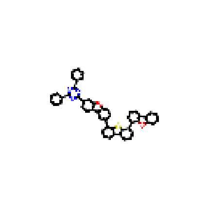 c1ccc(-c2nc(-c3ccccc3)nc(-c3ccc4c(c3)oc3ccc(-c5cccc6c5sc5c(-c7cccc8c7oc7ccccc78)cccc56)cc34)n2)cc1